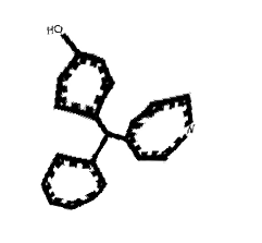 Oc1ccc(C(c2ccccc2)c2ccncc2)cc1